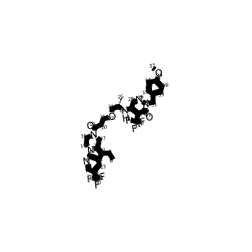 CCc1c2n(c3ncc(C(F)(F)F)cc13)CCN(C(=O)CCOC[C@H](C)Nc1cnn(Cc3ccc(OC)cc3)c(=O)c1C(F)(F)F)C2